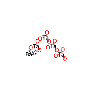 [Ba+2].[O]=[Ta](=[O])[O-].[O]=[Ta](=[O])[O-].[O]=[Ta](=[O])[O-].[O]=[Ta](=[O])[O-].[Sr+2]